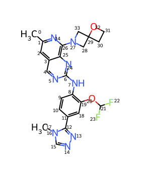 Cc1cc2cnc(Nc3ccc(-c4nncn4C)cc3OC(F)F)nc2c(N2CC3(CCO3)C2)n1